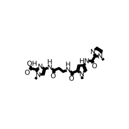 Cn1cc(NC(=O)c2nccn2C)cc1C(=O)NCCC(=O)Nc1cn(C)c(C(=O)O)n1